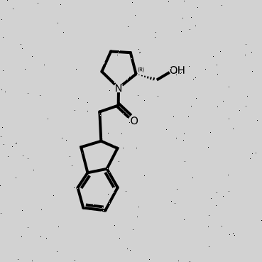 O=C(CC1Cc2ccccc2C1)N1CCC[C@@H]1CO